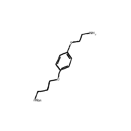 CCCCCCCCCCCCOc1ccc(SCCN)cc1